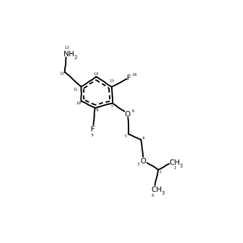 CC(C)OCCOc1c(F)cc(CN)cc1F